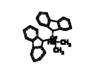 C[SiH](C)[Hf]([CH]1c2ccccc2-c2ccccc21)[CH]1c2ccccc2-c2ccccc21